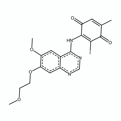 COCCOc1cc2ncnc(NC3=C(I)C(=O)C(C)=CC3=O)c2cc1OC